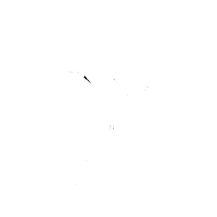 C[C@@H]1CCN(Cc2ccccc2)CC(=O)N1C1CCCCCC1